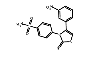 NS(=O)(=O)c1ccc(-n2c(-c3cccc([N+](=O)[O-])c3)csc2=S)cc1